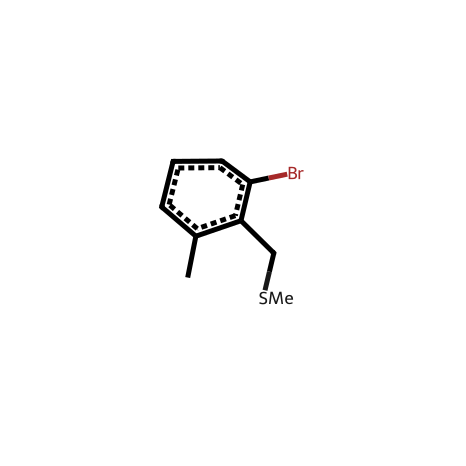 CSCc1c(C)cccc1Br